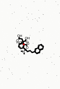 CN(C)C(CCCc1ccc2ccccc2c1)(OC(=O)CC(O)(CC(=O)O)C(=O)O)c1ccccc1